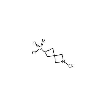 N#CN1CC2(CC(S(=O)(=O)Cl)C2)C1